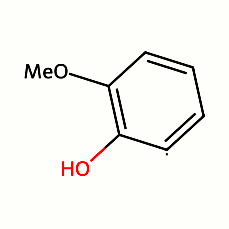 COc1ccc[c]c1O